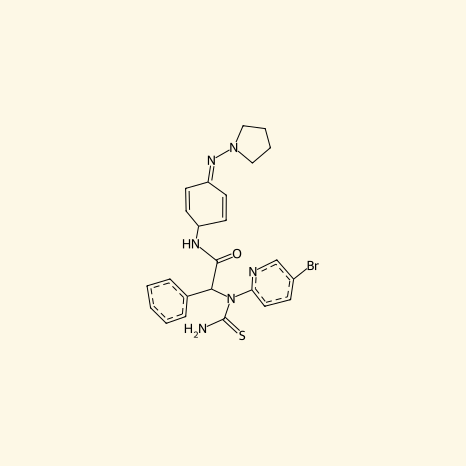 NC(=S)N(c1ccc(Br)cn1)C(C(=O)NC1C=CC(=NN2CCCC2)C=C1)c1ccccc1